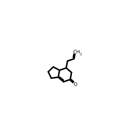 C=CCC1CC(=O)C=C2CCCC21